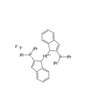 CC(C)P(C1=Cc2ccccc2[CH]1[Hf+2][CH]1C(P(C(C)C)C(C)C)=Cc2ccccc21)C(C)C.[F-].[F-]